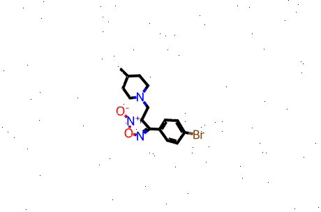 CC1CCN(Cc2c(-c3ccc(Br)cc3)no[n+]2[O-])CC1